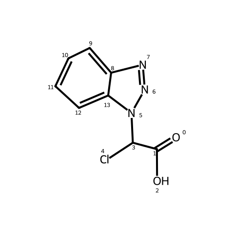 O=C(O)C(Cl)n1nnc2ccccc21